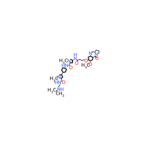 COc1cc2c(cc1OCCCC(=O)Nc1cc(C(=O)Nc3ccc(-c4cc(C(=O)NCCNC(C)C)n(C)c4)cc3)n(C)c1)N=CC1CCCN1C2=O